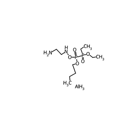 CCCCOP(=O)(ONCCN)P(=O)(CC)OCC.[AlH3]